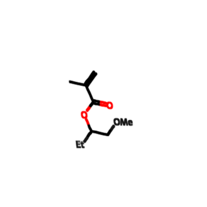 C=C(C)C(=O)OC(CC)COC